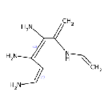 C=CNC(=C)/C(N)=C(N)\C=C/N